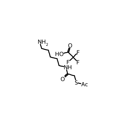 CC(=O)SCC(=O)NCCCCCN.O=C(O)C(F)(F)F